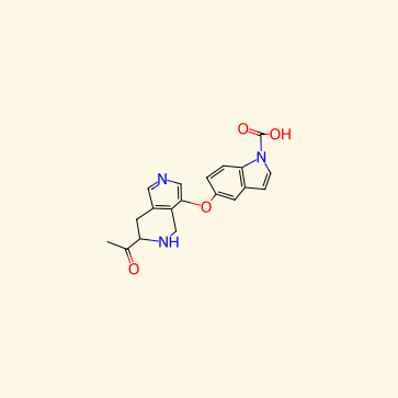 CC(=O)C1Cc2cncc(Oc3ccc4c(ccn4C(=O)O)c3)c2CN1